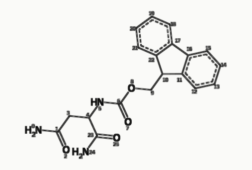 NC(=O)CC(NC(=O)OCC1c2ccccc2-c2ccccc21)C(N)=O